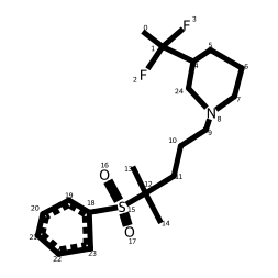 CC(F)(F)C1CCCN(CCCC(C)(C)S(=O)(=O)c2ccccc2)C1